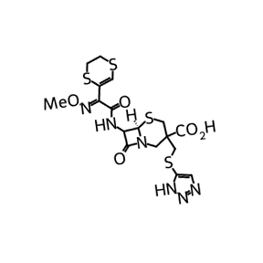 CON=C(C(=O)NC1C(=O)N2CC(CSc3cnn[nH]3)(C(=O)O)CS[C@H]12)C1=CSCCS1